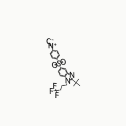 [C-]#[N+]c1ccc(S(=O)(=O)c2ccc3c(c2)nc(C(C)(C)C)n3CCCC(F)(F)F)cc1